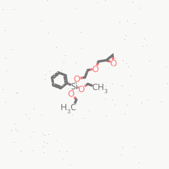 CCO[Si](OCC)(OCCOCC1CO1)c1ccccc1